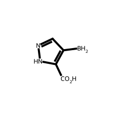 Bc1cn[nH]c1C(=O)O